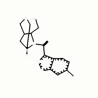 Cc1ccc2c(C(=O)N3C4CC[N@@]5CC4C[C@@H]3C5)n[nH]c2c1